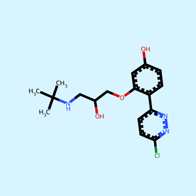 CC(C)(C)NCC(O)COc1cc(O)ccc1-c1ccc(Cl)nn1